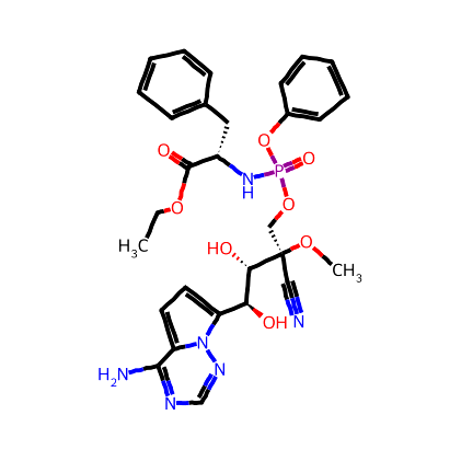 CCOC(=O)[C@H](Cc1ccccc1)NP(=O)(OC[C@@](C#N)(OC)[C@@H](O)[C@@H](O)c1ccc2c(N)ncnn12)Oc1ccccc1